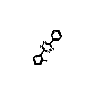 Cc1ccccc1-c1nnc(-c2ccccc2)nn1